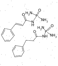 NP(N)(=O)NC(=O)C=Cc1ccccc1.NP(N)(=O)NC(=O)CCc1ccccc1